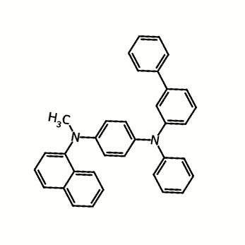 CN(c1ccc(N(c2ccccc2)c2cccc(-c3ccccc3)c2)cc1)c1cccc2ccccc12